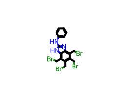 BrCc1c(CBr)c(CBr)c2[nH]c(Nc3ccccc3)nc2c1CBr